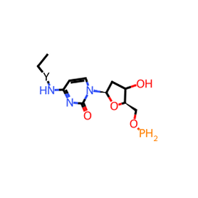 C[CH2][Y][NH]c1ccn([C@H]2CC(O)[C@@H](COP)O2)c(=O)n1